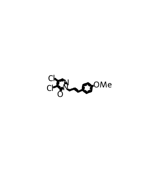 COc1ccc(C=CCn2ncc(Cl)c(Cl)c2=O)cc1